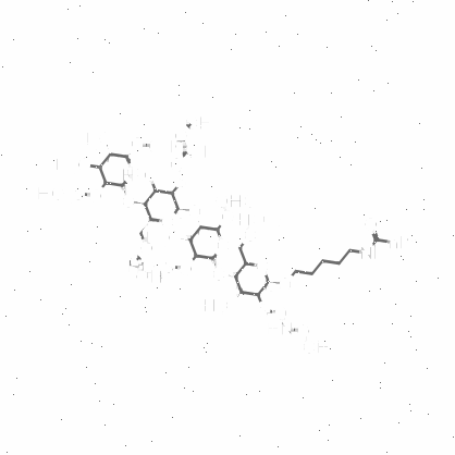 CCCC(=O)NCCCCCO[C@@H]1OC(COS(=O)(=O)O)[C@@H](O[C@@H]2OC(OC=O)[C@@H](O[C@H]3O[C@@H](COOO)[C@@H](O[C@@H]4O[C@@H](OC=O)[C@@H](C)C(C)C4OS(=O)(=O)O)C(C)C3SONOO)[C@@H](C)C2OS(=O)(=O)O)[C@H](C)C1SONOO